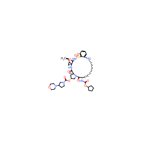 C=C[C@@H]1C[C@@]12NC(=O)[C@@H]1C[C@@H](OC(=O)N3CCC(N4CCOCC4)C3)CN1C(=O)[C@@H](NC(=O)OC1CCCC1)CCCCCCCNc1ccccc1S(=O)(=O)NC2=O